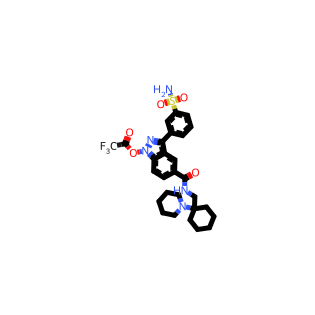 NS(=O)(=O)c1cccc(-c2nn(OC(=O)C(F)(F)F)c3ccc(C(=O)NCC4(N5CCCCC5)CCCCC4)cc23)c1